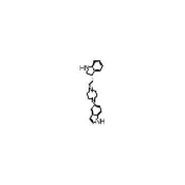 c1ccc2c(c1)NC[C@H]2CCN1CCN(c2ccc3[nH]ccc3c2)CC1